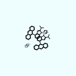 CC(C)C1=Cc2c(-c3c4ccccc4cc4ccccc34)cccc2[CH]1[Ti+2]1([CH]2C(C(C)C)=Cc3c(-c4c5ccccc5cc5ccccc45)cccc32)[CH2]C[CH2]1.[Cl-].[Cl-]